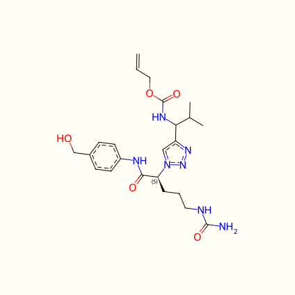 C=CCOC(=O)NC(c1cn([C@@H](CCCNC(N)=O)C(=O)Nc2ccc(CO)cc2)nn1)C(C)C